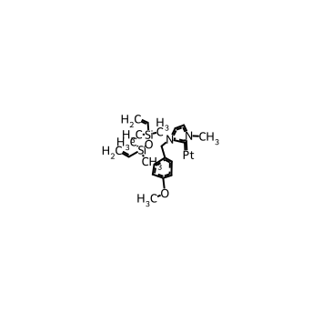 C=C[Si](C)(C)O[Si](C)(C)C=C.COc1ccc(Cn2ccn(C)[c]2=[Pt])cc1